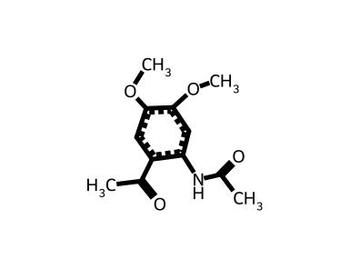 COc1cc(NC(C)=O)c(C(C)=O)cc1OC